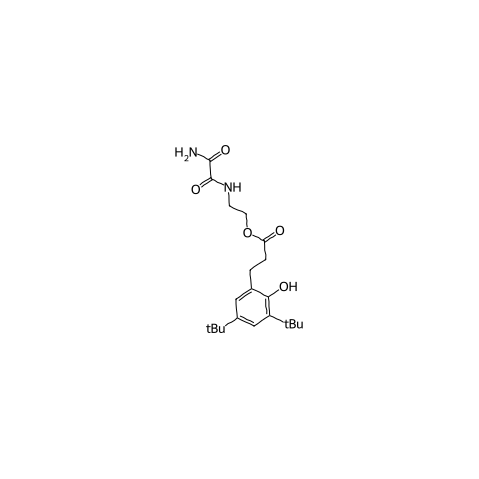 CC(C)(C)c1cc(CCC(=O)OCCNC(=O)C(N)=O)c(O)c(C(C)(C)C)c1